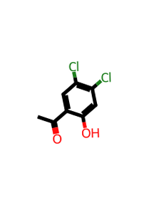 CC(=O)c1cc(Cl)c(Cl)cc1O